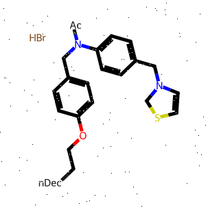 Br.CCCCCCCCCCCCOc1ccc(CN(C(C)=O)c2ccc(CN3C=CSC3)cc2)cc1